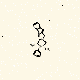 C[C@@H]1CN(Cc2cc3ccccc3[nH]2)C[C@H](C)N1c1ccncc1